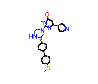 CSc1ccc(-c2ccc([C@H]3CN(c4nc(-c5ccncc5)cc(=O)n4C)CCN3)cc2)cc1